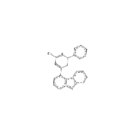 ClC1=NC(c2ccccc2)CC(c2cccc3sc4ccccc4c23)=N1